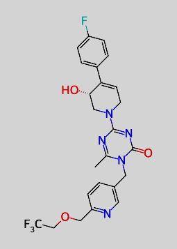 Cc1nc(N2CC=C(c3ccc(F)cc3)[C@@H](O)C2)nc(=O)n1Cc1ccc(COCC(F)(F)F)nc1